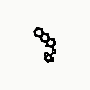 [c]1c(Oc2ncco2)ccc2cc3ccccc3cc12